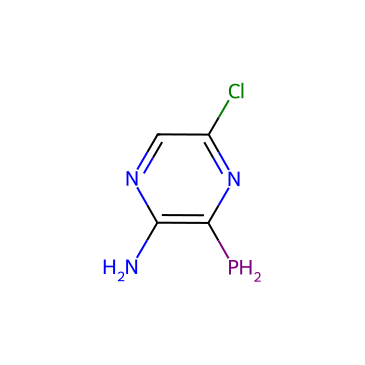 Nc1ncc(Cl)nc1P